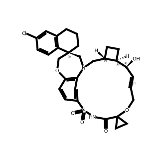 O=C1NS(=O)(=O)c2ccc3c(c2)N(C[C@@H]2CC[C@H]2[C@@H](O)/C=C/COC12CC2)C[C@@]1(CCCc2cc(Cl)ccc21)CO3